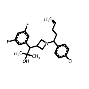 C=CCCC(c1ccc(Cl)cc1)N1CC(C(c2cc(F)cc(F)c2)C(C)(C)O)C1